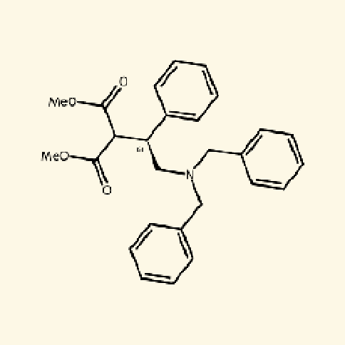 COC(=O)C(C(=O)OC)[C@H](CN(Cc1ccccc1)Cc1ccccc1)c1ccccc1